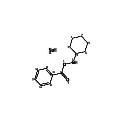 O=C(ONC1CCCCC1)c1ccccc1.[NaH]